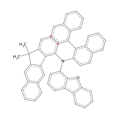 CC1(C)c2cc3ccccc3cc2-c2c(N(c3ccc4ccccc4c3-c3cccc4ccccc34)c3cccc4c3oc3ccccc34)cccc21